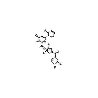 CN(c1nc(-c2ccncc2F)cc(=O)n1C)[C@H]1[C@@H]2CN(C(=O)c3ccc(F)c(Cl)c3)C[C@@H]21